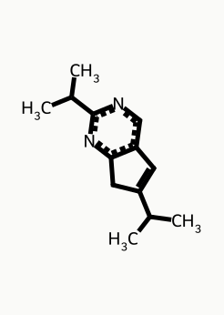 CC(C)C1=Cc2cnc(C(C)C)nc2C1